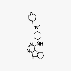 CN(Cc1ccncc1)[C@H]1CC[C@H](Nc2ncnc3sc4c(c23)CCC4)CC1